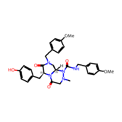 COc1ccc(CNC(=O)N2[C@H]3CN(Cc4ccc(OC)cc4)C(=O)[C@H](Cc4ccc(O)cc4)N3C(=O)CN2C)cc1